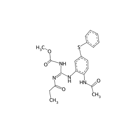 CCC(=O)/N=C(/NC(=O)OC)Nc1cc(Sc2ccccc2)ccc1NC(C)=O